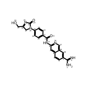 N=C(N)c1ccc2cc(NC(=O)c3ccc(N4CC(CO)=NC4=O)cc3)ncc2c1